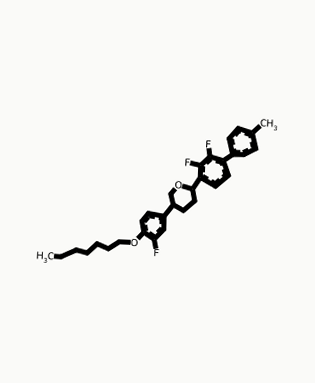 CCCCCCCOc1ccc(C2CCC(c3ccc(-c4ccc(C)cc4)c(F)c3F)OC2)cc1F